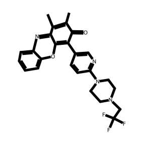 Cc1c2nc3ccccc3oc-2c(-c2ccc(N3CCN(CC(F)(F)F)CC3)nc2)c(=O)c1C